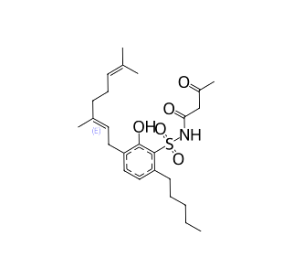 CCCCCc1ccc(C/C=C(\C)CCC=C(C)C)c(O)c1S(=O)(=O)NC(=O)CC(C)=O